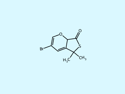 CC1(C)SC(=O)C2OC=C(Br)C=C21